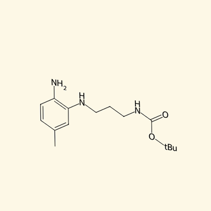 Cc1ccc(N)c(NCCCNC(=O)OC(C)(C)C)c1